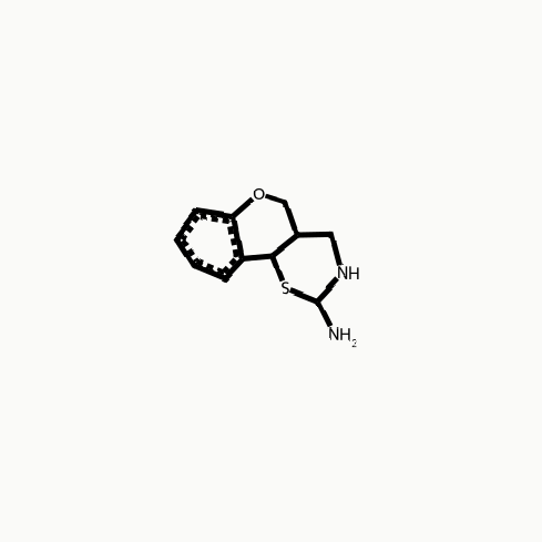 NC1NCC2COc3ccccc3C2S1